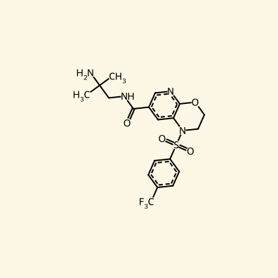 CC(C)(N)CNC(=O)c1cnc2c(c1)N(S(=O)(=O)c1ccc(C(F)(F)F)cc1)CCO2